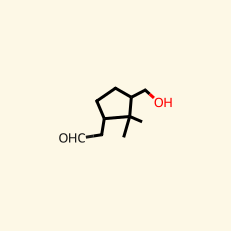 CC1(C)C(CO)CCC1CC=O